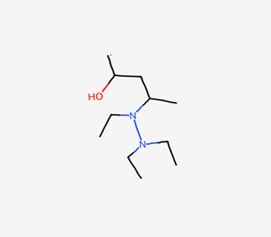 [CH2]C(O)CC(C)N(CC)N(CC)CC